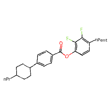 CCCCCc1ccc(OC(=O)c2ccc(C3CCC(CCC)CC3)cc2)c(F)c1F